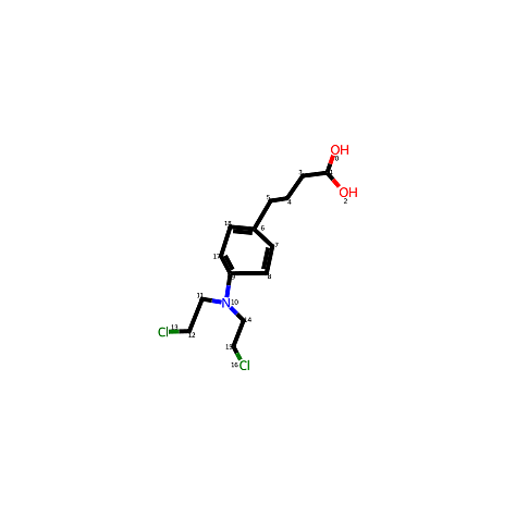 OC(O)CCCc1ccc(N(CCCl)CCCl)cc1